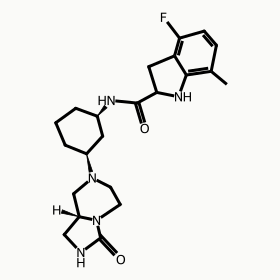 Cc1ccc(F)c2c1NC(C(=O)N[C@@H]1CCC[C@H](N3CCN4C(=O)NC[C@@H]4C3)C1)C2